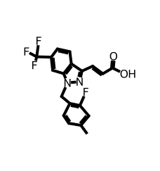 Cc1ccc(Cn2nc(/C=C/C(=O)O)c3ccc(C(F)(F)F)cc32)c(F)c1